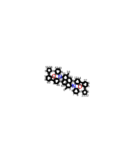 Cc1cc(N(c2ccccc2)c2cccc3c2oc2c(C4CCCC4)cccc23)c2ccc3c(C)cc(N(c4ccccc4)c4cccc5c4oc4c(C6CCCC6)cccc45)c4ccc1c2c34